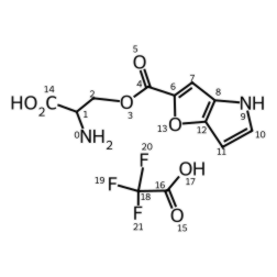 NC(COC(=O)c1cc2[nH]ccc2o1)C(=O)O.O=C(O)C(F)(F)F